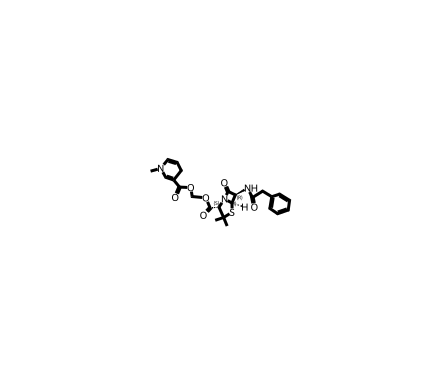 CN1C=CCC(C(=O)OCOC(=O)[C@@H]2N3C(=O)[C@@H](NC(=O)Cc4ccccc4)[C@H]3SC2(C)C)=C1